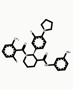 Cc1cccc(F)c1C(=O)N1CCCC(C(=O)Nc2cccc(C(C)(C)C)c2)[C@@H]1c1ccc(N2CCCC2)c(F)c1